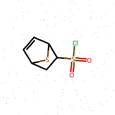 O=S(=O)(Cl)C1CC2C=CC1S2